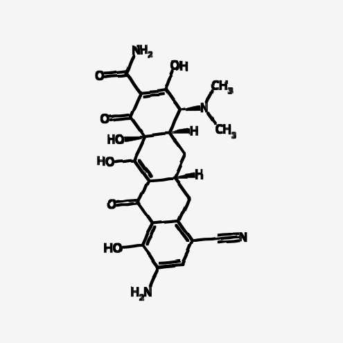 CN(C)[C@@H]1C(O)=C(C(N)=O)C(=O)[C@@]2(O)C(O)=C3C(=O)c4c(O)c(N)cc(C#N)c4C[C@H]3C[C@@H]12